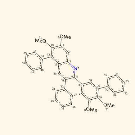 COc1cc(-c2nc3cc(OC)c(OC)c(-c4ccccc4)c3cc2-c2ccccc2)cc(-c2ccccc2)c1OC